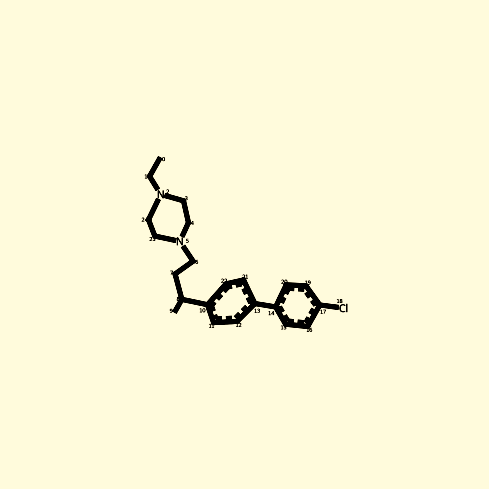 CCN1CCN(CCC(C)c2ccc(-c3ccc(Cl)cc3)cc2)CC1